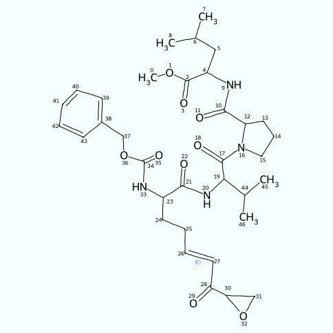 COC(=O)C(CC(C)C)NC(=O)C1CCCN1C(=O)C(NC(=O)C(CC/C=C/C(=O)C1CO1)NC(=O)OCc1ccccc1)C(C)C